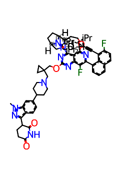 CC(C)[Si](C#Cc1c(F)ccc2cccc(-c3nc4c5c(nc(OCC6(CN7CCC(c8ccc9c(C%10CCC(=O)NC%10=O)nn(C)c9c8)CC7)CC6)nc5c3F)N3C[C@H]5CC[C@@H]([C@H]3CCO4)N5C(=O)O)c12)(C(C)C)C(C)C